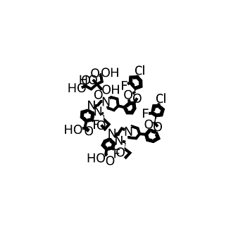 O=C(O)CC(O)(CC(=O)O)C(=O)O.O=C(O)c1ccc2nc(CN3CCC(c4cccc5c4O[C@@H](c4ccc(Cl)cc4F)O5)CC3)n(C[C@@H]3CCO3)c2c1F.O=C(O)c1ccc2nc(CN3CCC(c4cccc5c4O[C@@H](c4ccc(Cl)cc4F)O5)CC3)n(C[C@@H]3CCO3)c2c1F